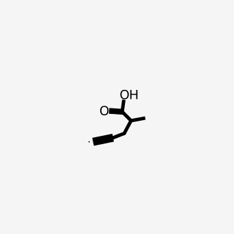 [C]#CCC(C)C(=O)O